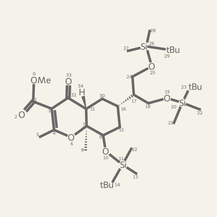 COC(=O)C1=C(C)O[C@]2(C)C(O[Si](C)(C)C(C)(C)C)C[C@@H](C(CO[Si](C)(C)C(C)(C)C)CO[Si](C)(C)C(C)(C)C)C[C@H]2C1=O